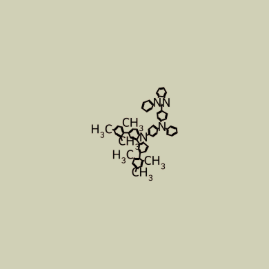 Cc1cc(C)c(-c2ccc3c(c2)c2cc(-c4c(C)cc(C)cc4C)ccc2n3-c2ccc(N(c3ccccc3)c3ccc(-c4nc5ccccc5n4-c4ccccc4)cc3)cc2)c(C)c1